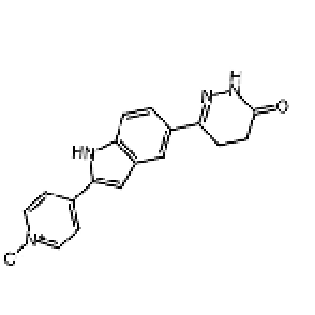 O=C1CCC(c2ccc3[nH]c(-c4cc[n+]([O-])cc4)cc3c2)=NN1